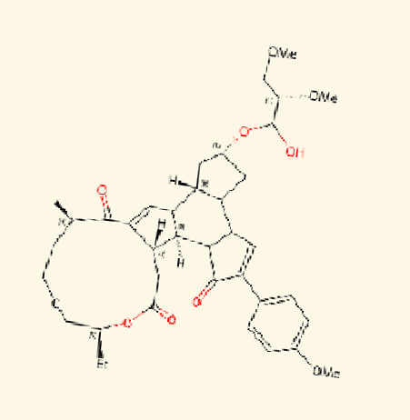 CC[C@H]1CCCC[C@@H](C)C(=O)C2=CC3[C@@H]4C[C@H](OC(O)[C@H](COC)OC)CC4C4C=C(c5ccc(OC)cc5)C(=O)C4[C@H]3[C@@H]2CC(=O)O1